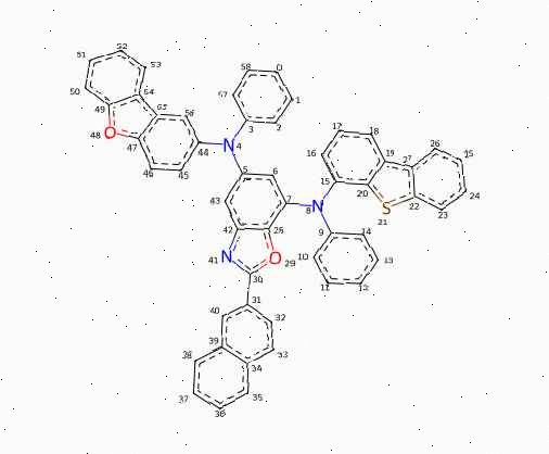 c1ccc(N(c2cc(N(c3ccccc3)c3cccc4c3sc3ccccc34)c3oc(-c4ccc5ccccc5c4)nc3c2)c2ccc3oc4ccccc4c3c2)cc1